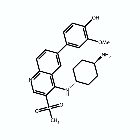 COc1cc(-c2ccc3ncc(S(C)(=O)=O)c(N[C@H]4CC[C@H](N)CC4)c3c2)ccc1O